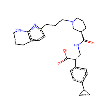 O=C(NC[C@@H](C(=O)O)c1ccc(C2CC2)cc1)[C@@H]1CCCN(CCCc2ccc3c(n2)NCCC3)C1